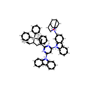 C=CC(C/C(=C\C)c1nc(-n2c3ccccc3c3ccccc32)cc(-n2c3ccccc3c3ccc(N4C5CC6CC(C5)CC4C6)cc32)n1)[Si](c1ccccc1)(c1ccccc1)c1ccccc1